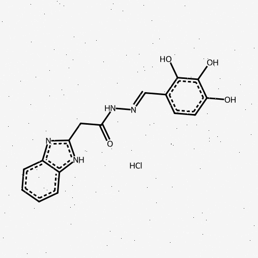 Cl.O=C(Cc1nc2ccccc2[nH]1)NN=Cc1ccc(O)c(O)c1O